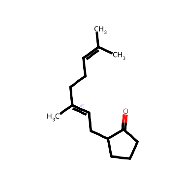 CC(C)=CCC/C(C)=C/CC1CCCC1=O